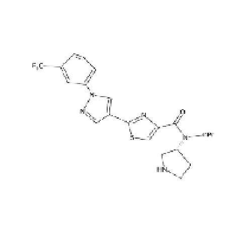 CCCN(C(=O)c1csc(-c2cnn(-c3cccc(C(F)(F)F)c3)c2)n1)[C@@H]1CCNC1